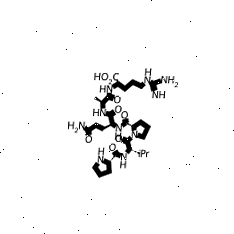 CC(C)[C@H](NC(=O)[C@@H]1CCCN1)C(=O)N1CCC[C@H]1C(=O)N[C@@H](CCC(N)=O)C(=O)N[C@@H](C)C(=O)N[C@@H](CCCNC(=N)N)C(=O)O